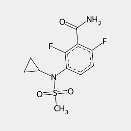 CS(=O)(=O)N(c1ccc(F)c(C(N)=O)c1F)C1CC1